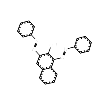 Oc1c(N=Nc2ccccc2)cc2ccccc2c1N=Nc1ccccc1